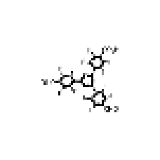 O=Cc1c(F)c(F)c(-c2cc(-c3c(F)c(F)c(C=O)c(F)c3F)cc(-c3c(F)c(F)c(C(=O)O)c(F)c3F)c2)c(F)c1F